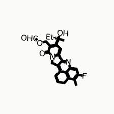 CC[C@](C)(O)c1cc2n(c(=O)c1COC=O)Cc1c-2nc2cc(F)c(C)c3c2c1CCC3